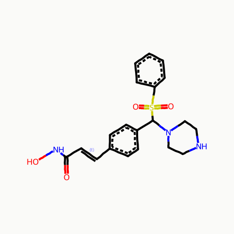 O=C(/C=C/c1ccc(C(N2CCNCC2)S(=O)(=O)c2ccccc2)cc1)NO